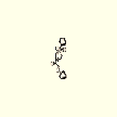 O=C(COc1ccccc1)N1CCN(S(=O)(=O)c2ccccc2)CC1